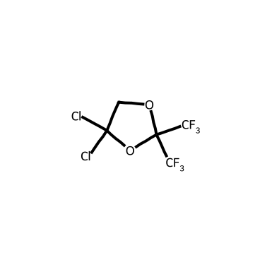 FC(F)(F)C1(C(F)(F)F)OCC(Cl)(Cl)O1